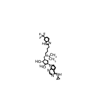 CC(C)N(CCCCc1nc2ccc(C(F)(F)F)cc2[nH]1)C[C@H]1C[C@@H](n2ccc3c(NC4CC4)ncnc32)[C@H](O)[C@@H]1O